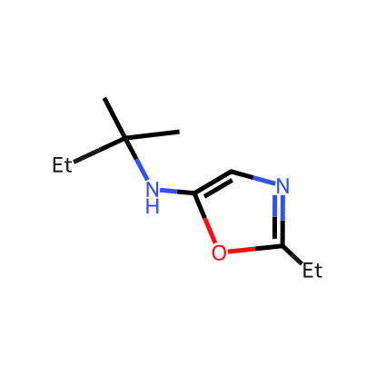 CCc1ncc(NC(C)(C)CC)o1